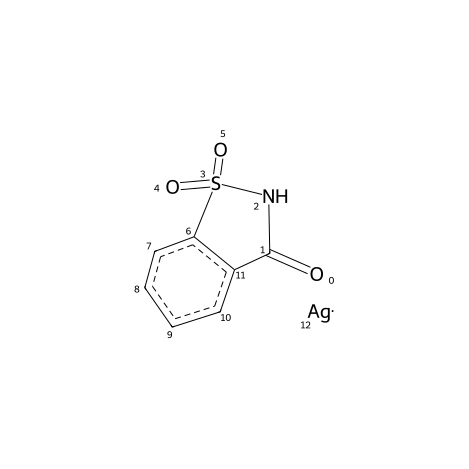 O=C1NS(=O)(=O)c2ccccc21.[Ag]